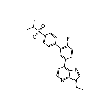 CCn1cnc2c(-c3ccc(F)c(-c4ccc(S(=O)(=O)C(C)C)cc4)c3)cnnc21